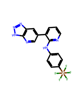 FS(F)(F)(F)(F)c1ccc(Nc2ncccc2-c2cnc3[nH]nnc3c2)cc1